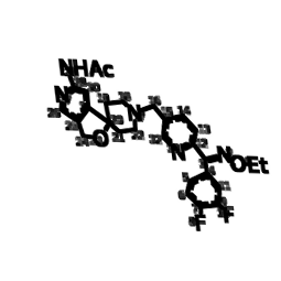 CCON=C(c1ccc(F)c(F)c1)c1ccc(CN2CCC3(CC2)OCc2cnc(NC(C)=O)cc23)cn1